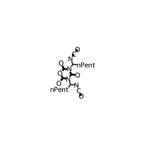 CCCCCC(N=C=O)n1c(=O)oc(=O)n(C(CCCCC)N=C=O)c1=O